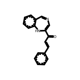 O=C(/C=C/c1ccccc1)C1=CN=Cc2ccccc2N1